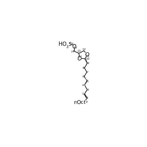 CCCCCCCCC=CCCCCCCCC1OCC(COS(=O)(=O)O)O1